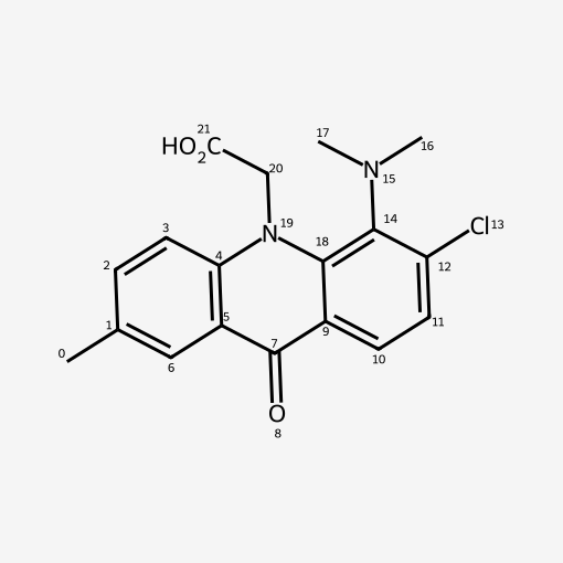 Cc1ccc2c(c1)c(=O)c1ccc(Cl)c(N(C)C)c1n2CC(=O)O